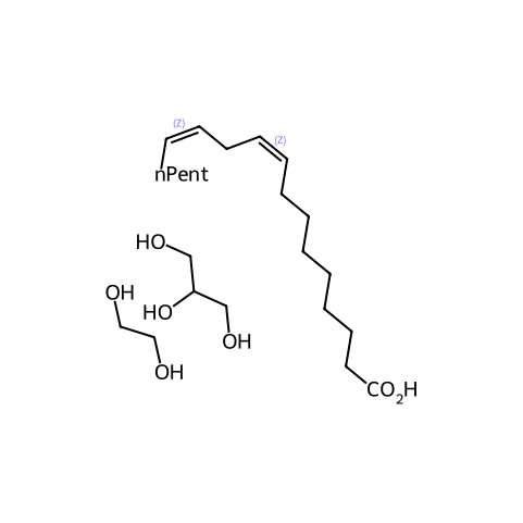 CCCCC/C=C\C/C=C\CCCCCCCC(=O)O.OCC(O)CO.OCCO